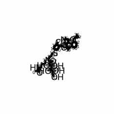 CC(=O)NCCCCN(CCCSc1ccc(Cl)c(COC2(c3cnccc3-c3ccccc3OC3CC3)CC2)c1)C(=O)[C@@H](O)[C@@H](O)[C@H](O)[C@@H](O)CO